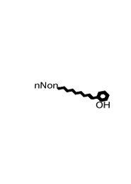 CCCCCCCCCCCCCCCC/C=C/c1ccccc1O